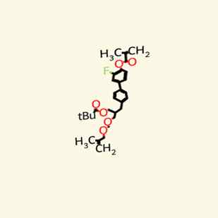 C=C(C)COCOCC(COC(=O)C(C)(C)C)Cc1ccc(-c2ccc(OC(=O)C(=C)C)c(F)c2)cc1